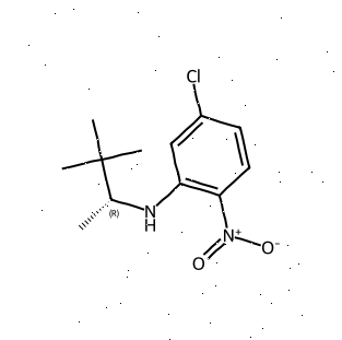 C[C@@H](Nc1cc(Cl)ccc1[N+](=O)[O-])C(C)(C)C